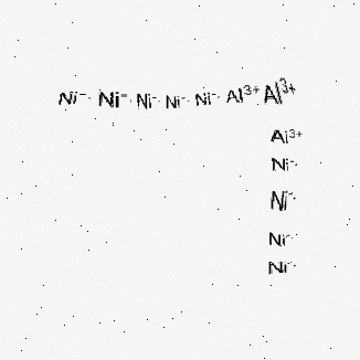 [Al+3].[Al+3].[Al+3].[Ni-].[Ni-].[Ni-].[Ni-].[Ni-].[Ni-].[Ni-].[Ni-].[Ni-]